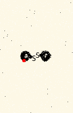 S(S[C]12[CH]3[CH]4[CH]5[CH]1[Fe]45321678[CH]2[CH]1[CH]6[CH]7[CH]28)[C]12[CH]3[CH]4[CH]5[CH]1[Fe]45321678[CH]2[CH]1[CH]6[CH]7[CH]28